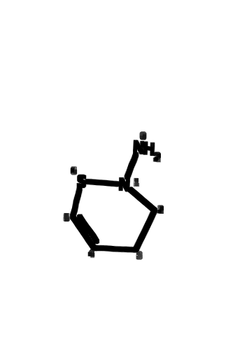 NN1CCC=CS1